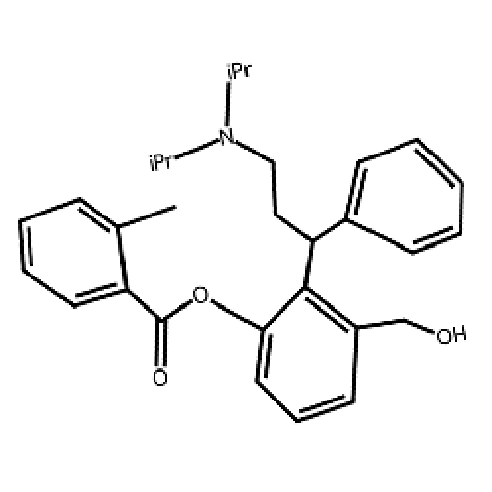 Cc1ccccc1C(=O)Oc1cccc(CO)c1C(CCN(C(C)C)C(C)C)c1ccccc1